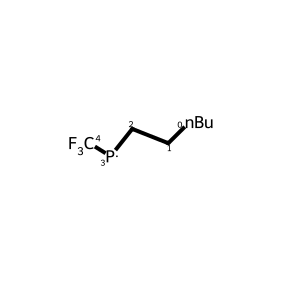 CCCCCC[P]C(F)(F)F